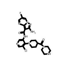 Nc1nn2cc(F)cnc2c1C(=O)Nc1cncc(Cl)c1N1CCC(C(=O)N2CCNCC2)CC1